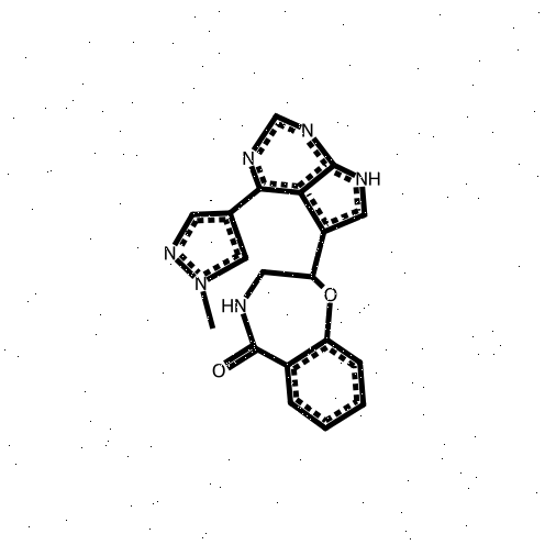 Cn1cc(-c2ncnc3[nH]cc(C4CNC(=O)c5ccccc5O4)c23)cn1